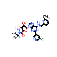 [2H]C([2H])([2H])NC(=O)[C@H]1O[C@@H](n2cnc3c(NCc4cccc(C)n4)nc(-c4cncc(Cl)c4)nc32)[C@H](O)[C@@H]1O